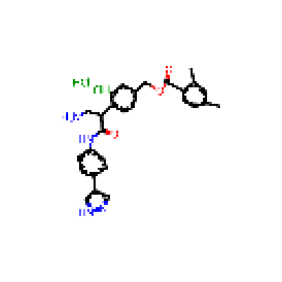 Cc1ccc(C(=O)OCc2ccc(C(CN)C(=O)Nc3ccc(-c4cn[nH]c4)cc3)cc2)c(C)c1.Cl.Cl